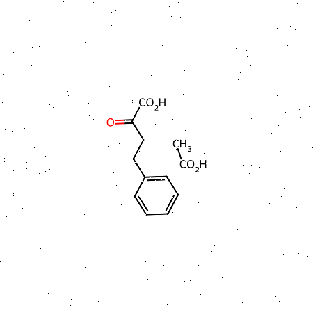 CC(=O)O.O=C(O)C(=O)CCc1ccccc1